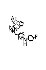 CC(=O)CSc1nnc(Cc2csc(Nc3ccc(F)cc3)n2)n1Cc1ccco1